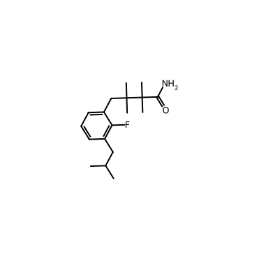 CC(C)Cc1cccc(CC(C)(C)C(C)(C)C(N)=O)c1F